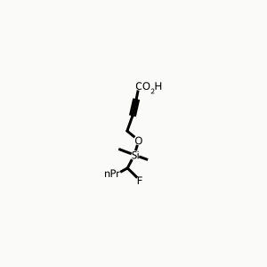 CCCC(F)[Si](C)(C)OCC#CC(=O)O